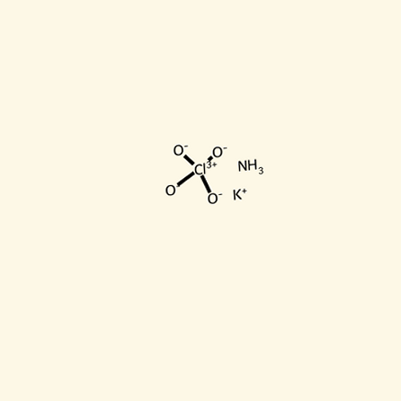 N.[K+].[O-][Cl+3]([O-])([O-])[O-]